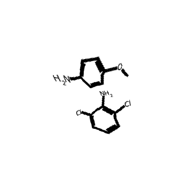 COc1ccc(N)cc1.Nc1c(Cl)cccc1Cl